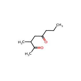 CCCC(=O)CC(C)C(C)=O